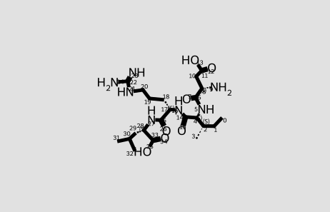 CC[C@H](C)[C@H](NC(=O)[C@@H](N)CC(=O)O)C(=O)N[C@@H](CCCNC(=N)N)C(=O)N[C@@H](CC(C)C)C(=O)O